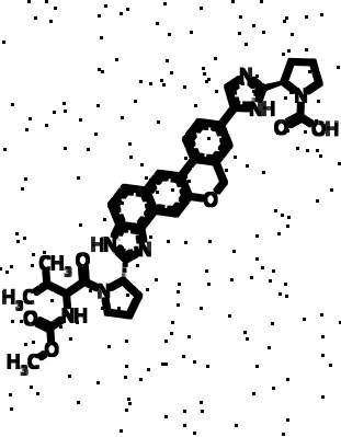 COC(=O)NC(C(=O)N1CCC[C@H]1c1nc2c(ccc3cc4c(cc32)OCc2cc(-c3cnc([C@H]5CCCN5C(=O)O)[nH]3)ccc2-4)[nH]1)C(C)C